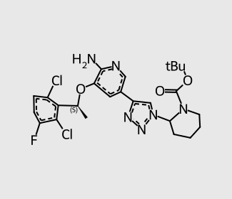 C[C@H](Oc1cc(-c2cn(C3CCCCN3C(=O)OC(C)(C)C)nn2)cnc1N)c1c(Cl)ccc(F)c1Cl